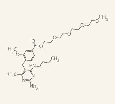 CCCCNc1nc(N)nc(C)c1Cc1ccc(C(=O)OCCOCCOCCOCCOC)cc1OC